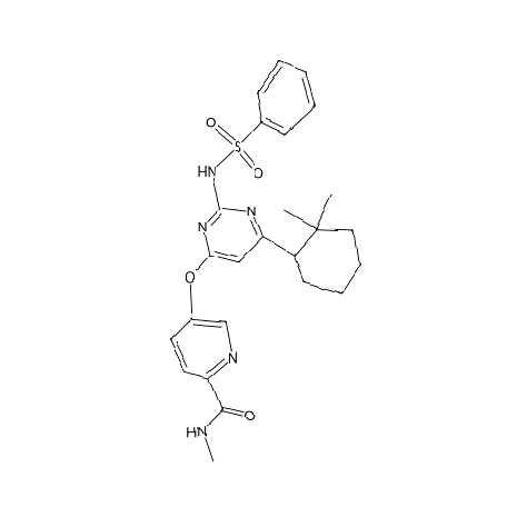 CNC(=O)c1ccc(Oc2cc(C3CCCCC3(C)C)nc(NS(=O)(=O)c3ccccc3)n2)cn1